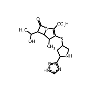 CC(O)C1C(=O)N2C(C(=O)O)=C(SC3CNC(c4nc[nH]n4)C3)C(C)C12